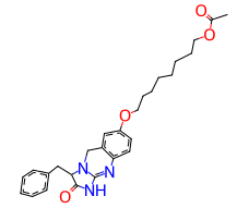 CC(=O)OCCCCCCCCOc1ccc2c(c1)CN1C(=N2)NC(=O)C1Cc1ccccc1